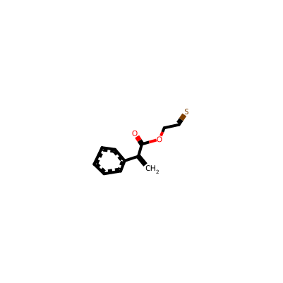 C=C(C(=O)OCC=S)c1ccccc1